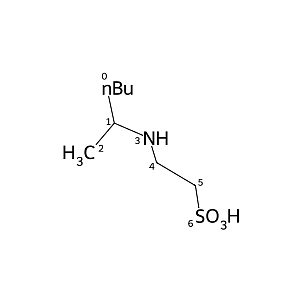 CCCCC(C)NCCS(=O)(=O)O